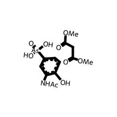 CC(=O)Nc1cc([As](=O)(O)O)ccc1O.COC(=O)CC(=O)OC